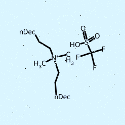 CCCCCCCCCCCC[N+](C)(C)CCCCCCCCCCCC.O=S(=O)(O)C(F)(F)F